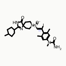 Cc1cc(N(C)C(N)=O)cc(C)c1/C(I)=C/[S+]([O-])N1CCC2(CC1)N=C(C1CCC(C)CC1)NC2=O